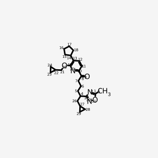 Cc1nc(C(CCCC(=O)c2ccc(C3CCCC3)c(OCC3CC3)n2)CC2CC2)no1